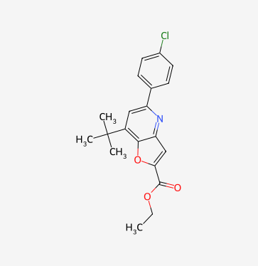 CCOC(=O)c1cc2nc(-c3ccc(Cl)cc3)cc(C(C)(C)C)c2o1